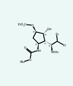 CCOC(=O)O[C@@H]1C[C@H](NC(=O)OC(C)(C)C)[C@@H]([C@H](NC(C)=O)C(CC)CC)[C@H]1O